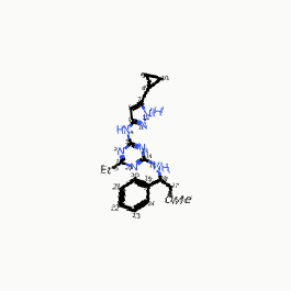 CCc1nc(Nc2cc(C3CC3)[nH]n2)nc(NC(COC)c2ccccc2)n1